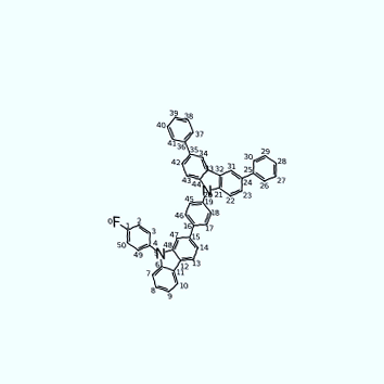 Fc1ccc(-n2c3ccccc3c3ccc(-c4ccc(-n5c6ccc(-c7ccccc7)cc6c6cc(-c7ccccc7)ccc65)cc4)cc32)cc1